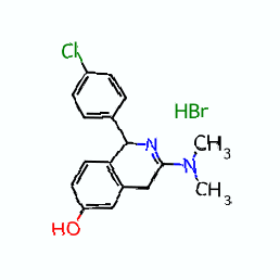 Br.CN(C)C1=NC(c2ccc(Cl)cc2)c2ccc(O)cc2C1